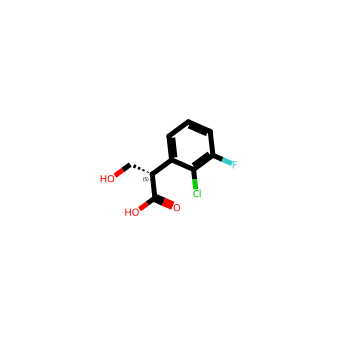 O=C(O)[C@H](CO)c1cccc(F)c1Cl